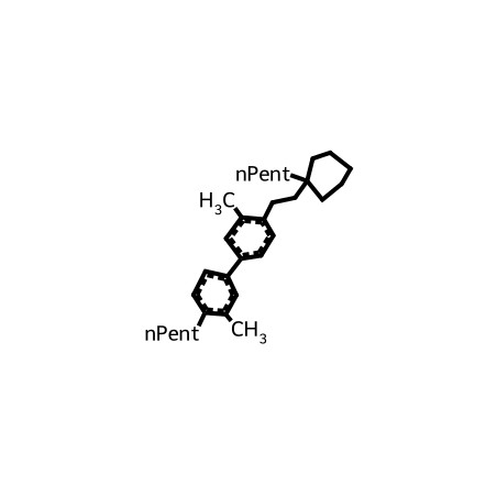 CCCCCc1ccc(-c2ccc(CCC3(CCCCC)CCCCC3)c(C)c2)cc1C